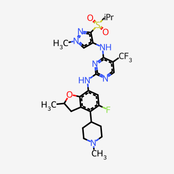 CC1Cc2c(c(Nc3ncc(C(F)(F)F)c(Nc4cn(C)nc4S(=O)(=O)C(C)C)n3)cc(F)c2C2CCN(C)CC2)O1